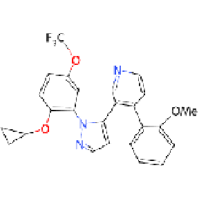 COc1ccccc1-c1ccncc1-c1ccnn1-c1cc(OC(F)(F)F)ccc1OC1CC1